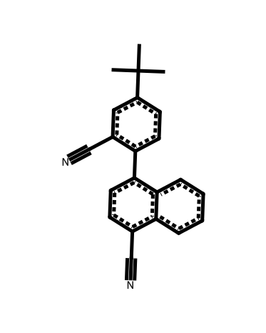 CC(C)(C)c1ccc(-c2ccc(C#N)c3ccccc23)c(C#N)c1